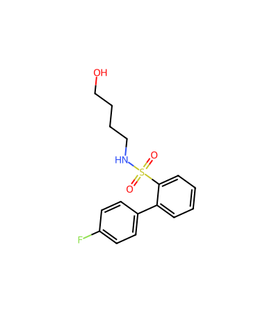 O=S(=O)(NCCCCO)c1ccccc1-c1ccc(F)cc1